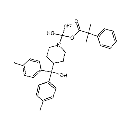 CCCC(O)(OC(=O)C(C)(C)c1ccccc1)N1CCC(C(O)(c2ccc(C)cc2)c2ccc(C)cc2)CC1